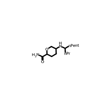 CCCCCC(CCC)NC1CCC(C(N)=O)OC1